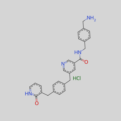 Cl.NCc1ccc(CNC(=O)c2cncc(Cc3ccc(Cc4ccc[nH]c4=O)cc3)c2)cc1